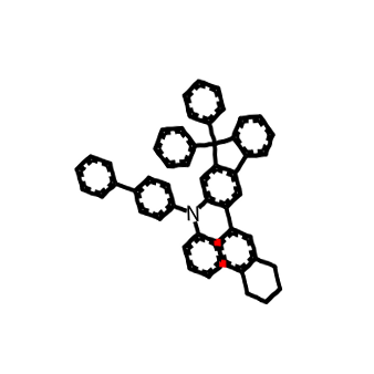 c1ccc(-c2ccc(N(c3ccccc3)c3cc4c(cc3-c3ccc5c(c3)CCCC5)-c3ccccc3C4(c3ccccc3)c3ccccc3)cc2)cc1